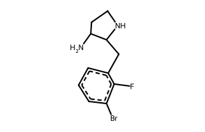 NC1CCNC1Cc1cccc(Br)c1F